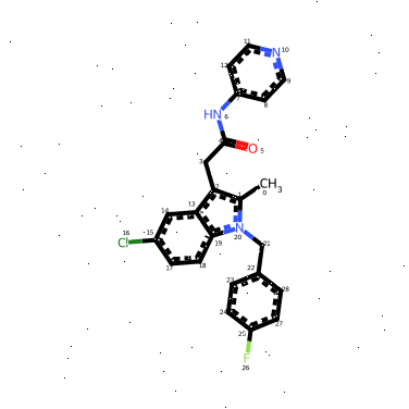 Cc1c(CC(=O)Nc2ccncc2)c2cc(Cl)ccc2n1Cc1ccc(F)cc1